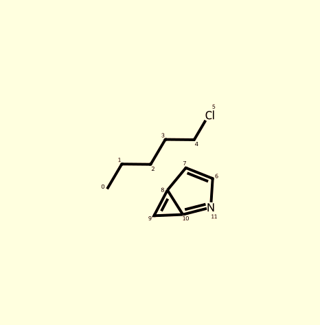 CCCCCCl.c1cc2cc-2n1